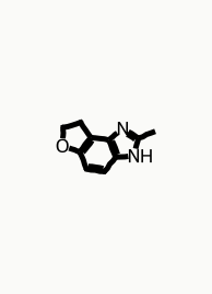 Cc1nc2c3c(ccc2[nH]1)OCC3